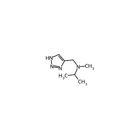 CC(C)N(C)Cc1c[nH]nn1